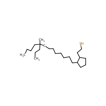 CCCCC(C)(CCC)CCCCCCCCC1CCCC1CCS